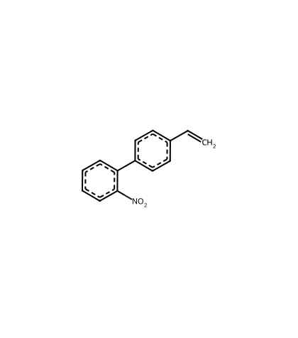 C=Cc1ccc(-c2ccccc2[N+](=O)[O-])cc1